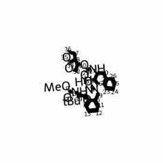 COC(=O)NC(C(=O)NN(Cc1ccccc1)CC(O)C(Cc1ccccc1)NC(=O)OC1COC2OCCC12)C(C)(C)C